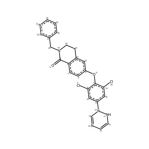 O=C1c2ccc(Oc3c(Cl)cc(N4C=NC=CN4)cc3Cl)cc2CCN1Cc1cccnn1